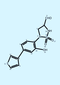 O=CC1CN(c2ccc(-c3ccsc3)cc2O)S(=O)(=O)N1